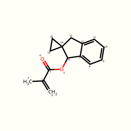 C=C(C)C(=O)OC1c2ccccc2CC12CC2